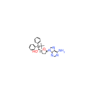 CC(C)(C)[Si](c1ccccc1)(c1ccccc1)C(O)[C@@H]1CC[C@H](n2cnc3c(N)ncnc32)O1